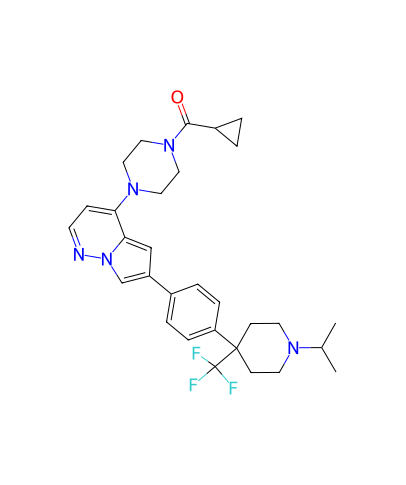 CC(C)N1CCC(c2ccc(-c3cc4c(N5CCN(C(=O)C6CC6)CC5)ccnn4c3)cc2)(C(F)(F)F)CC1